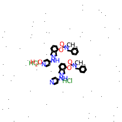 CN(Cc1ccccc1)C(=O)Oc1cccc2c1CN(Nc1ccncc1)C2.CN(Cc1ccccc1)C(=O)Oc1cccc2c1CN(Nc1ccncc1)C2.Cl.Cl.O